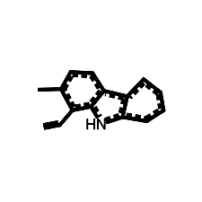 C=Cc1c(C)ccc2c1[nH]c1ccccc12